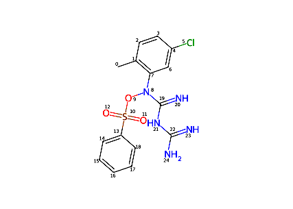 Cc1ccc(Cl)cc1N(OS(=O)(=O)c1ccccc1)C(=N)NC(=N)N